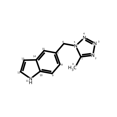 Cc1nnnn1Cc1ccc2[nH]c[c]c2c1